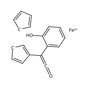 O=C=C(c1cc[cH-]c1)c1ccccc1O.[Fe+2].c1cc[cH-]c1